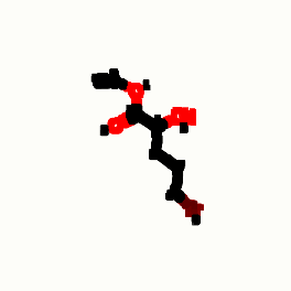 CC(C)(C)OC(=O)C(O)CCCBr